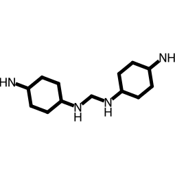 [NH]C1CCC(NCNC2CCC([NH])CC2)CC1